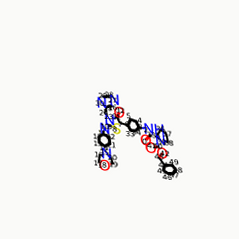 O=C(Nc1ccc(C2S/C(=N\c3ccc(N4CCOCC4)cc3)N(Cc3cnccn3)C2=O)cc1)[C@@H]1CCCN1C(=O)OCc1ccccc1